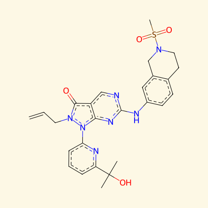 C=CCn1c(=O)c2cnc(Nc3ccc4c(c3)CN(S(C)(=O)=O)CC4)nc2n1-c1cccc(C(C)(C)O)n1